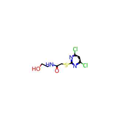 O=C(CSc1nc(Cl)cc(Cl)n1)NCCO